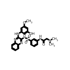 COc1cc(O)cc(Nc2nc3ccccc3nc2NS(=O)(=O)c2cccc(NC(=O)CN(C)C)c2)c1